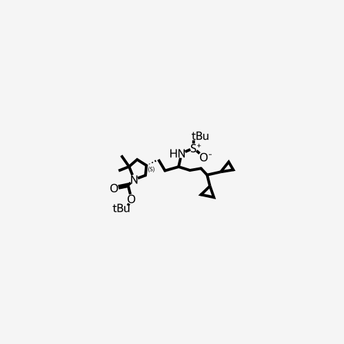 CC(C)(C)OC(=O)N1C[C@@H](CCC(CCC(C2CC2)C2CC2)N[S+]([O-])C(C)(C)C)CC1(C)C